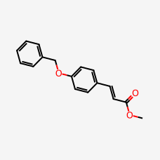 COC(=O)C=Cc1ccc(OCc2ccccc2)cc1